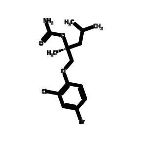 CC(C)C[C@@](C)(COc1ccc(Br)cc1Cl)OC(N)=O